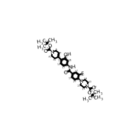 CC(C)(C)OC(=O)N1CC=C(c2ccc(NC(=O)c3ccc(N4CCN(C(=O)OC(C)(C)C)CC4)c(F)c3)cc2O)CC1